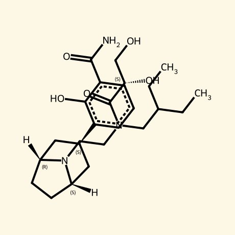 CCC(CC)CN(CCN1[C@@H]2CC[C@H]1C[C@H](c1cccc(C(N)=O)c1O)C2)C(=O)[C@@H](O)CO